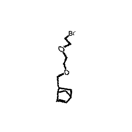 BrCCOCCOCC1CC2C=CC1C2